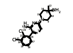 C=C(/C(N)=N\C(=C/C)N1CCC(C)(N)CC1)c1cccc(Cl)c1Cl